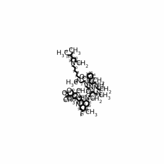 C=C(CN(C)C(=O)CCCCCN1CC(C(CC)CC)CC1=C)NCC(=C)NC(Cc1ccccc1)C(=C)NCC(=C)N(C)CCCC(=C)NC1CCc2c(C)c(F)cc3nc4c(c1c23)CN1C(=C)C2=C(C=C41)C(O)(CC)C(=O)OC2